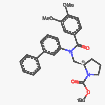 COc1ccc(C(=O)N(C[C@@H]2CCCN2C(=O)OC(C)(C)C)c2cccc(-c3ccccc3)c2)cc1OC